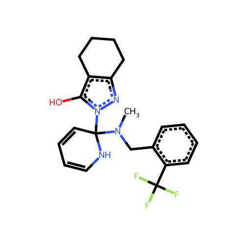 CN(Cc1ccccc1C(F)(F)F)C1(n2nc3c(c2O)CCCC3)C=CC=CN1